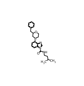 CC(C)CCNC(=O)n1cnc2c(N3CCOC(Cc4ccccc4)C3)cccc21